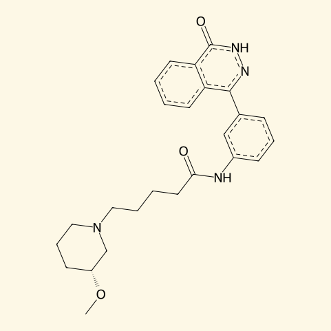 CO[C@@H]1CCCN(CCCCC(=O)Nc2cccc(-c3n[nH]c(=O)c4ccccc34)c2)C1